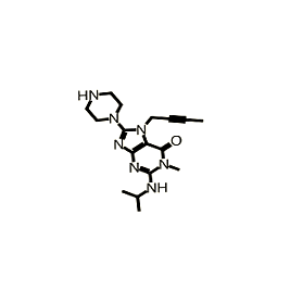 CC#CCn1c(N2CCNCC2)nc2nc(NC(C)C)n(C)c(=O)c21